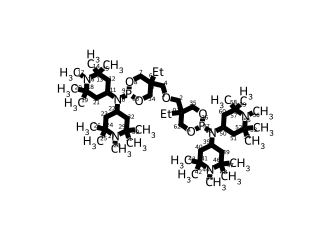 CCC1(COCC2(CC)COP(N(C3CC(C)(C)N(C)C(C)(C)C3)C3CC(C)(C)N(C)C(C)(C)C3)OC2)COP(N(C2CC(C)(C)N(C)C(C)(C)C2)C2CC(C)(C)N(C)C(C)(C)C2)OC1